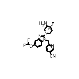 N#Cc1ccc(Cn2c(N3CC[C@@H](F)[C@H](N)C3)nc3cc(OC(F)F)ccc32)nc1